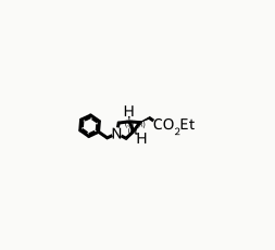 CCOC(=O)C[C@H]1[C@H]2CN(Cc3ccccc3)C[C@@H]12